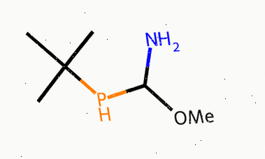 COC(N)PC(C)(C)C